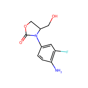 Nc1ccc(N2C(=O)OCC2CO)cc1F